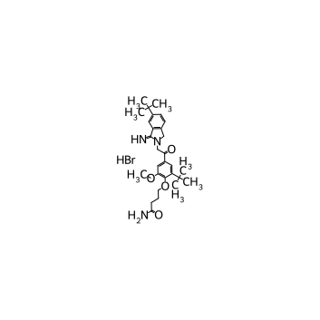 Br.COc1cc(C(=O)CN2Cc3ccc(C(C)(C)C)cc3C2=N)cc(C(C)(C)C)c1OCCCC(N)=O